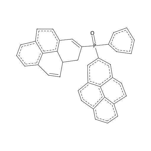 O=P(C1=Cc2ccc3cccc4c3c2C(C=C4)C1)(c1ccccc1)c1cc2ccc3cccc4ccc(c1)c2c34